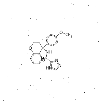 O=C(NC1(c2ccc(OC(F)(F)F)cc2)CCOc2cccnc21)c1nnc[nH]1